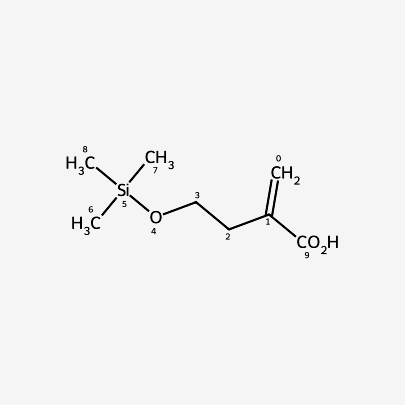 C=C(CCO[Si](C)(C)C)C(=O)O